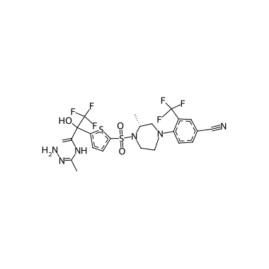 C=C(N/C(C)=N\N)C(O)(c1ccc(S(=O)(=O)N2CCN(c3ccc(C#N)cc3C(F)(F)F)C[C@H]2C)s1)C(F)(F)F